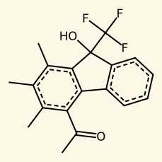 CC(=O)c1c(C)c(C)c(C)c2c1-c1ccccc1C2(O)C(F)(F)F